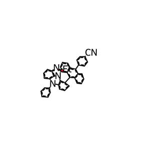 CCc1nc2cccc3c2n1-c1c(-c2c4ccccc4c(-c4ccc(C#N)cc4)c4ccccc24)cccc1N3c1ccccc1